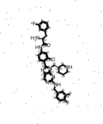 N[C@@H](Cc1cccc(F)c1)C(=O)Nc1ccc(-c2nc3cnc(NCc4ccc(F)c(F)c4)nc3n2C[C@@H]2CCCNC2)c(Cl)c1